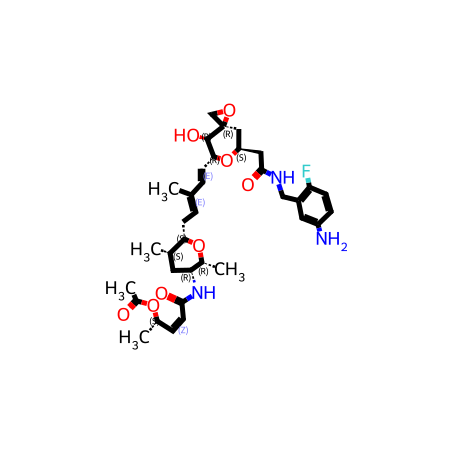 CC(=O)O[C@@H](C)/C=C\C(=O)N[C@@H]1C[C@H](C)[C@H](C/C=C(C)/C=C/[C@H]2O[C@H](CC(=O)NCc3cc(N)ccc3F)C[C@@]3(CO3)[C@@H]2O)O[C@@H]1C